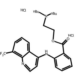 CCCCN(CCCC)CCOC(=O)c1ccccc1Nc1ccnc2c(C(F)(F)F)cccc12.Cl.Cl